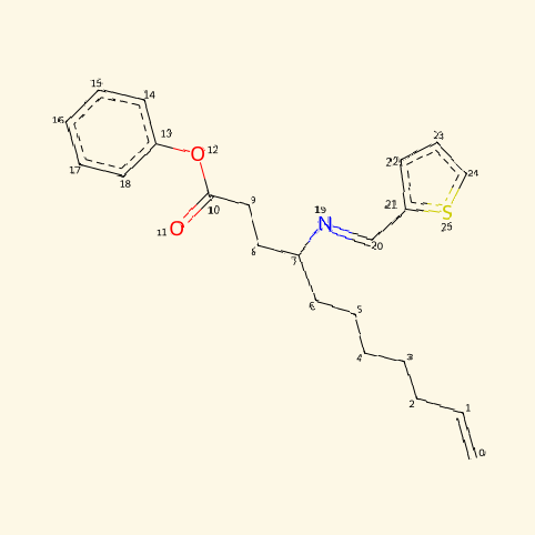 C=CCCCCCC(CCC(=O)Oc1ccccc1)N=Cc1cccs1